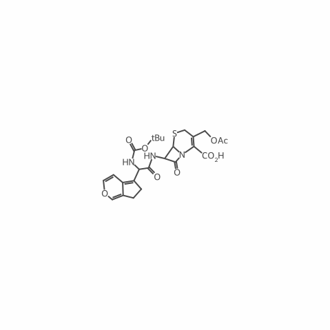 CC(=O)OCC1=C(C(=O)O)N2C(=O)C(NC(=O)C(NC(=O)OC(C)(C)C)C3=C4C=COC=C4CC3)C2SC1